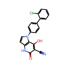 N#Cc1c(O)c2c(ccn2-c2ccc(-c3ccccc3Cl)cc2)[nH]c1=O